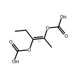 CC/C(OC(=O)O)=C(/C)OC(=O)O